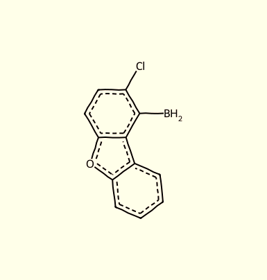 Bc1c(Cl)ccc2oc3ccccc3c12